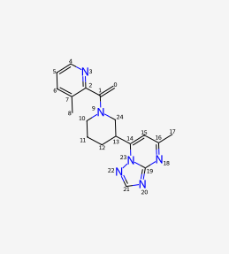 C=C(c1ncccc1C)N1CCCC(c2cc(C)nc3ncnn23)C1